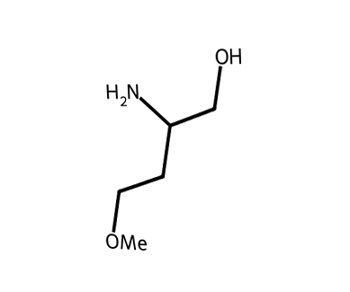 COCCC(N)CO